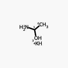 CC(N)O.[KH]